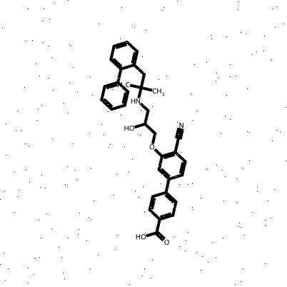 CC(C)(Cc1ccccc1-c1ccccc1)NCC(O)COc1cc(-c2ccc(C(=O)O)cc2)ccc1C#N